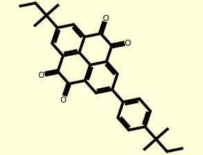 CCC(C)(C)c1ccc(-c2cc3c4c(c2)c(=O)c(=O)c2cc(C(C)(C)CC)cc(c2-4)c(=O)c3=O)cc1